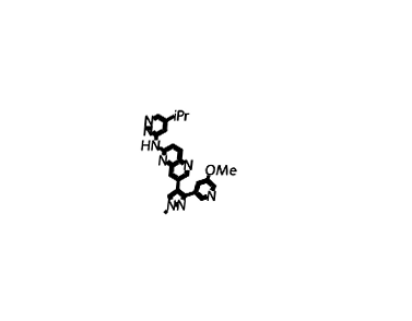 COc1cncc(-c2nn(C)cc2-c2cnc3ccc(Nc4cc(C(C)C)cnn4)nc3c2)c1